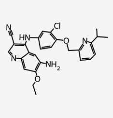 CCOc1cc2ncc(C#N)c(Nc3ccc(OCc4cccc(C(C)C)n4)c(Cl)c3)c2cc1N